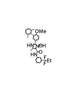 CCC(F)(F)c1cccc(NC(=O)c2c(C)[nH]c(-c3ccc(OC)c(-c4c(C)cccc4C)c3)[n+]2O)c1